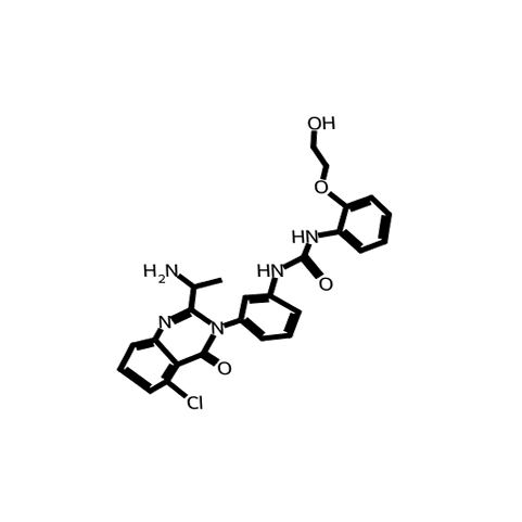 CC(N)c1nc2cccc(Cl)c2c(=O)n1-c1cccc(NC(=O)Nc2ccccc2OCCO)c1